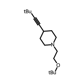 CC(C)(C)C#CC1CCN(CCOC(C)(C)C)CC1